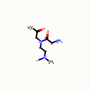 CC(=O)CN(CCN(C)I)C(=O)CN